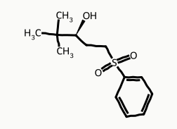 CC(C)(C)[C@@H](O)CCS(=O)(=O)c1ccccc1